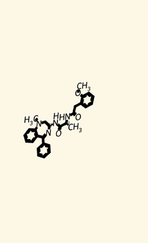 COc1ccccc1CC(=O)N[C@@H](C)C(=O)N[C@@H]1CN(C)c2ccccc2C(c2ccccc2)=N1